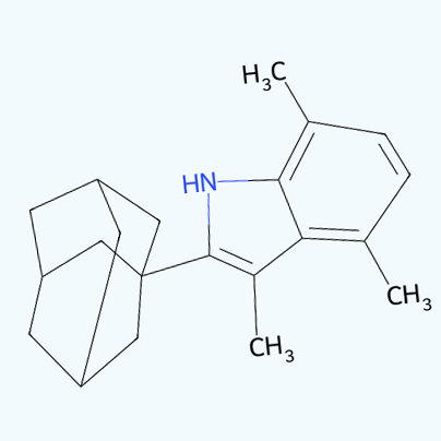 Cc1ccc(C)c2c(C)c(C34CC5CC(CC(C5)C3)C4)[nH]c12